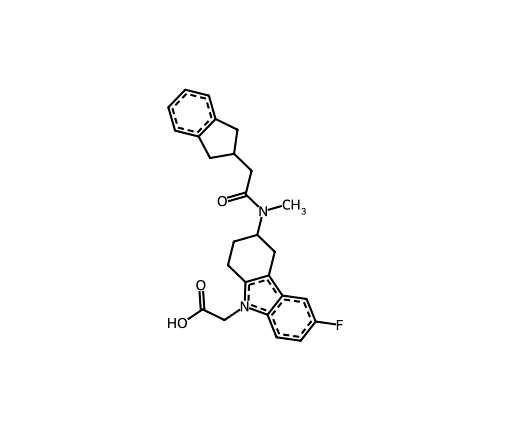 CN(C(=O)CC1Cc2ccccc2C1)C1CCc2c(c3cc(F)ccc3n2CC(=O)O)C1